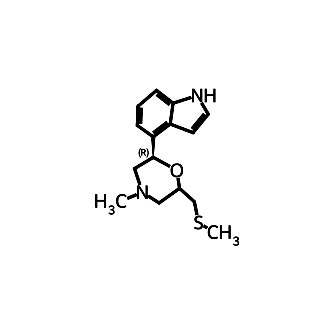 CSCC1CN(C)C[C@@H](c2cccc3[nH]ccc23)O1